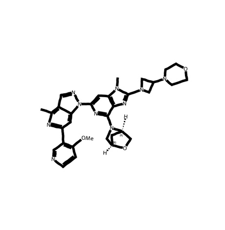 COc1ccncc1-c1cc2c(cnn2-c2cc3c(nc(N4CC(N5CCOCC5)C4)n3C)c(N3C[C@H]4C[C@@H]3CO4)n2)c(C)n1